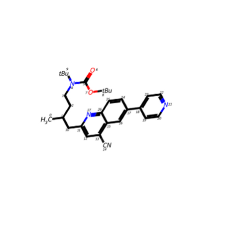 CC(CCN(C(=O)OC(C)(C)C)C(C)(C)C)Cc1cc(C#N)c2cc(-c3ccncc3)ccc2n1